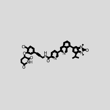 CC(C)c1cc(-c2cccc3cc(-c4ccc(C(=O)NCC#Cc5ccc(Cl)c(OC6CCC(=O)NC6=O)c5)nc4)ncc23)cc2c1n(C)c(=O)n2C